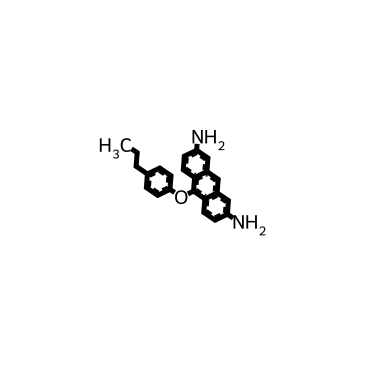 CCCc1ccc(Oc2c3ccc(N)cc3cc3cc(N)ccc23)cc1